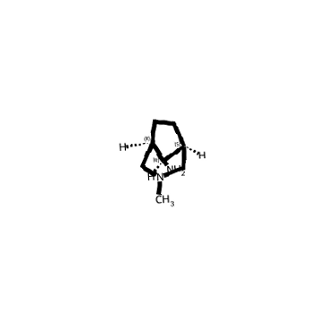 CN1C[C@H]2CC[C@@H](C1)[C@H]2N